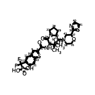 CC(C)(C)[C@H](NC(=O)c1cc2cc(C(F)(F)P(=O)(O)O)ccc2s1)C(=O)N1CCC[C@H]1C(=O)N1CCOC(c2nccs2)C1